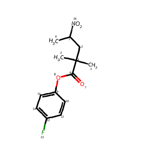 CC(CC(C)(C)C(=O)Oc1ccc(F)cc1)[N+](=O)[O-]